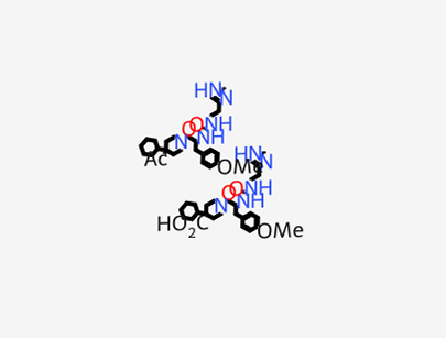 COc1ccc(CC(NC(=O)NCCc2c[nH]cn2)C(=O)N2CCC(C(=O)O)(C3CCCCC3)CC2)cc1.COc1ccc(CC(NC(=O)NCCc2c[nH]cn2)C(=O)N2CCC(C(C)=O)(C3CCCCC3)CC2)cc1